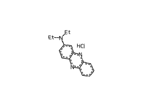 CCN(CC)c1ccc2nc3ccccc3nc2c1.Cl